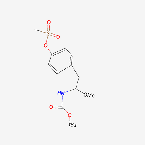 COC(Cc1ccc(OS(C)(=O)=O)cc1)NC(=O)OC(C)(C)C